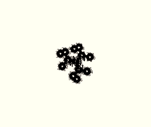 c1ccc(-c2cc(-c3cccc4ccccc34)cc(-c3nc(-c4cc(-c5cccc6ccccc56)cc(-c5ccccc5)n4)nc(-c4cc(-c5cccc6ccccc56)cc(-c5ccccc5)n4)n3)n2)cc1